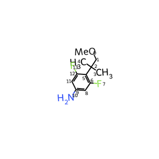 COCC(C)(C)c1c(F)cc(N)cc1F